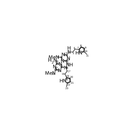 CNc1nc(NCCc2ccc(C)[nH]2)nc(NN(CCc2ccc(C)[nH]2)c2nc(N)nc(NC)n2)n1